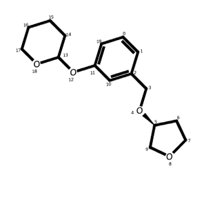 c1cc(CO[C@H]2CCOC2)cc(OC2CCCCO2)c1